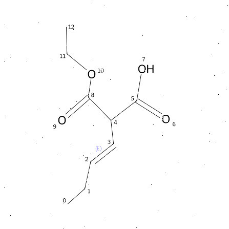 CC/C=C/C(C(=O)O)C(=O)OCC